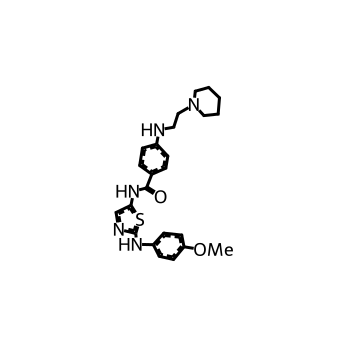 COc1ccc(Nc2ncc(NC(=O)c3ccc(NCCN4CCCCC4)cc3)s2)cc1